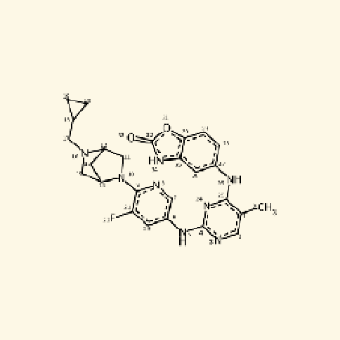 Cc1cnc(Nc2cnc(N3CC4CC3CN4CC3CC3)c(F)c2)nc1Nc1ccc2oc(=O)[nH]c2c1